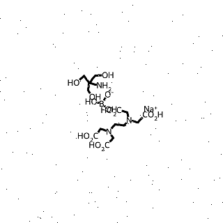 NC(CO)(CO)CO.O=C(O)CN(CCN(CC(=O)O)CC(=O)O)CC(=O)O.[Na+].[O-]B(O)O